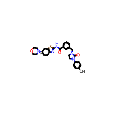 N#Cc1ccc(N2CCN(Cc3cccc(C(=O)Nc4nc5c(s4)C[C@@H](N4CCOCC4)CC5)c3)C2=O)cc1